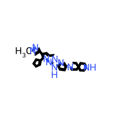 Cn1cc(-c2cc3cnc(Nc4ccc(N5CCC6(CCNCC6)CC5)cn4)nn3c2C2=CCCC2)cn1